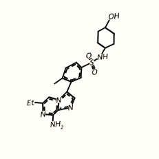 CCc1cn2c(-c3cc(S(=O)(=O)NC4CCC(O)CC4)ccc3C)cnc2c(N)n1